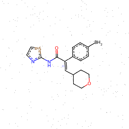 Bc1ccc(/C(=C\C2CCOCC2)C(=O)Nc2nccs2)cc1